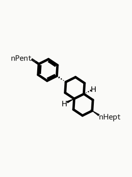 CCCCCCC[C@H]1CC[C@@H]2C[C@H](c3ccc(CCCCC)cc3)CC[C@H]2C1